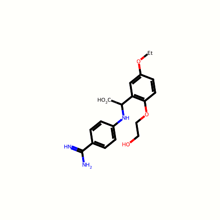 CCOc1ccc(OCCO)c(C(Nc2ccc(C(=N)N)cc2)C(=O)O)c1